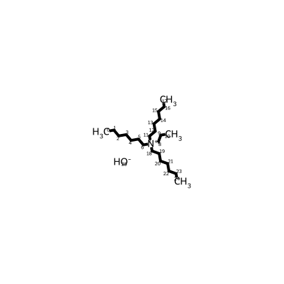 CCCCCCC[N+](CCC)(CCCCCCC)CCCCCCC.[OH-]